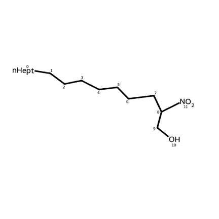 CCCCCCCCCCCCCCC(CO)[N+](=O)[O-]